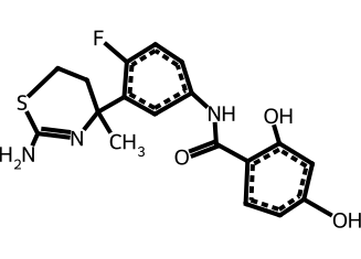 CC1(c2cc(NC(=O)c3ccc(O)cc3O)ccc2F)CCSC(N)=N1